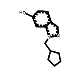 Oc1ccc2cnn(CC3CCCC3)c2c1